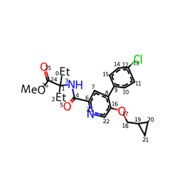 CCC(CC)(NC(=O)c1cc(-c2ccc(Cl)cc2)c(OCC2CC2)cn1)C(=O)OC